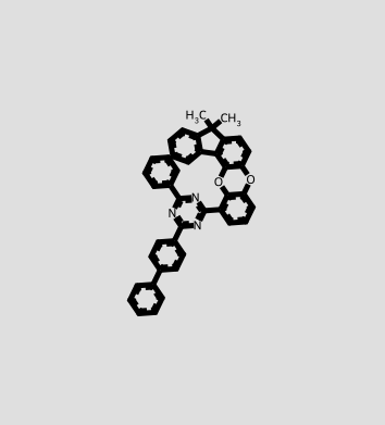 CC1(C)c2ccccc2-c2c1ccc1c2Oc2c(cccc2-c2nc(-c3ccccc3)nc(-c3ccc(-c4ccccc4)cc3)n2)O1